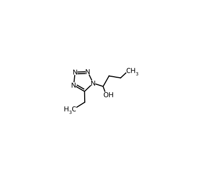 CCCC(O)n1nnnc1CC